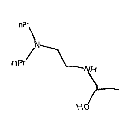 CCCN(CCC)CCNC(C)O